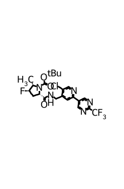 C[C@H]1[C@H](F)C[C@@H](C(=O)NCc2cc(-c3cnc(C(F)(F)F)nc3)ncc2Cl)N1C(=O)OC(C)(C)C